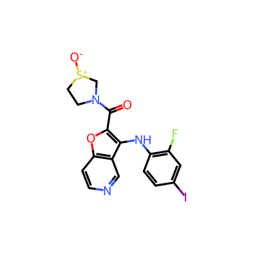 O=C(c1oc2ccncc2c1Nc1ccc(I)cc1F)N1CC[S+]([O-])C1